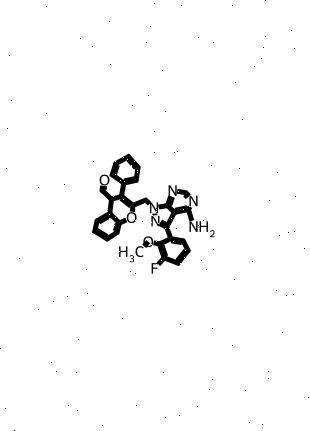 COc1c(F)cccc1-c1nn(CC2=C(c3ccccc3)C(C=O)c3ccccc3O2)c2ncnc(N)c12